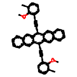 COc1c(C)cccc1C#Cc1c2cc3ccccc3cc2c(C#Cc2cccc(C)c2OC)c2cc3ccccc3cc12